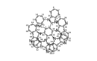 N#Cc1c(-c2nc3ccccc3n2-c2ccccc2)c(-n2c3ccccc3c3ncccc32)c(-n2c3ccccc3c3ncccc32)c(-n2c3ccccc3c3ncccc32)c1-n1c2ccccc2c2ncccc21